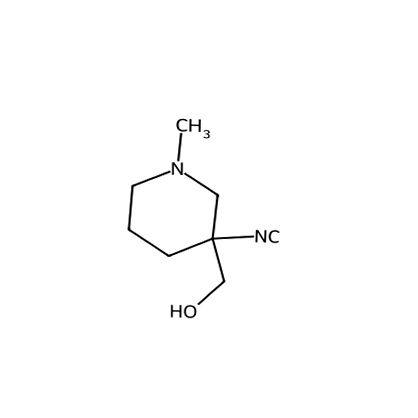 [C-]#[N+]C1(CO)CCCN(C)C1